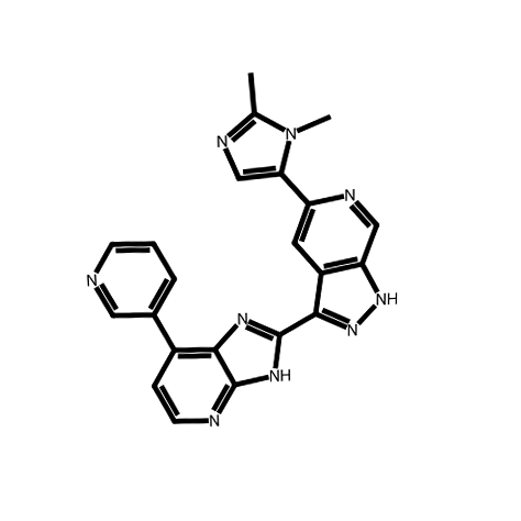 Cc1ncc(-c2cc3c(-c4nc5c(-c6cccnc6)ccnc5[nH]4)n[nH]c3cn2)n1C